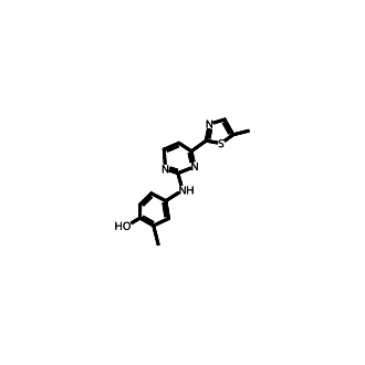 Cc1cnc(-c2ccnc(Nc3ccc(O)c(C)c3)n2)s1